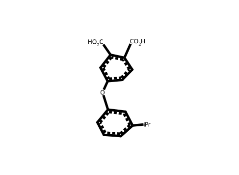 CC(C)c1cccc(Oc2ccc(C(=O)O)c(C(=O)O)c2)c1